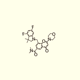 CN(C)C(=O)c1cc(CN2CC(C)(C)c3c(F)cc(F)cc32)c2oc(N3CCOCC3)cc(=O)c2c1